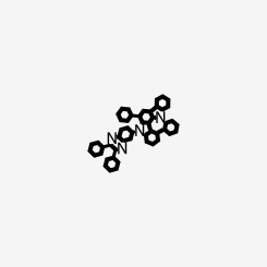 c1ccc(-c2nc3ccc(-n4c5cccc6c7ccccc7n7c8ccccc8c8cc(-c9ccccc9)c4c(c65)c87)cc3nc2-c2ccccc2)cc1